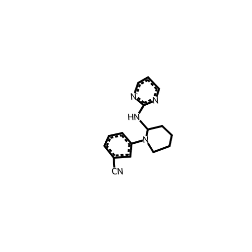 N#Cc1cccc(N2CCCCC2Nc2ncccn2)c1